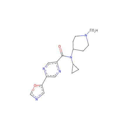 O=C(O)N1CCC(N(C(=O)c2cnc(-c3cnco3)cn2)C2CC2)CC1